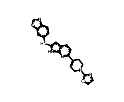 C1=C(c2ccc3cc(Nc4ccc5ncsc5c4)[nH]c3n2)CCN(c2ncco2)C1